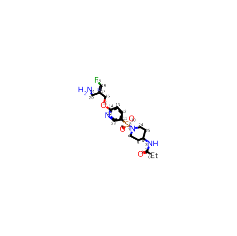 CCC(=O)NC1CCN(S(=O)(=O)c2ccc(OC/C(=C/F)CN)nc2)CC1